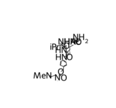 CNCCN(C)C(=O)OCc1ccc(NC(=O)[C@H](CCCNC(N)=O)NC(=O)[C@@H](NC(C)=O)C(C)C)cc1